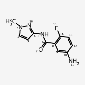 Cn1ccc(NC(=O)c2cc(N)ccc2F)n1